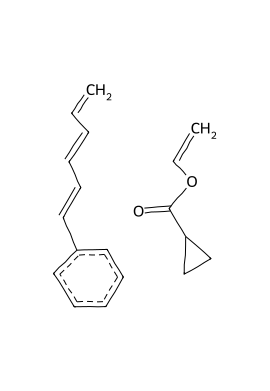 C=CC=CC=Cc1ccccc1.C=COC(=O)C1CC1